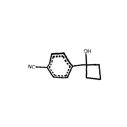 N#Cc1ccc(C2(O)CCC2)cc1